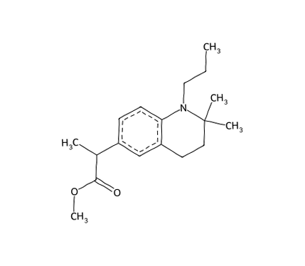 CCCN1c2ccc(C(C)C(=O)OC)cc2CCC1(C)C